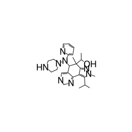 CC(C)c1c2c(nn1C)C(C)(C(C)O)C(N(c1ccccn1)N1CCNCC1)c1cncnc1-2